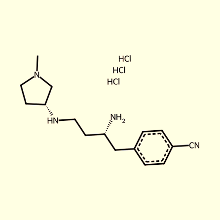 CN1CC[C@@H](NCC[C@H](N)Cc2ccc(C#N)cc2)C1.Cl.Cl.Cl